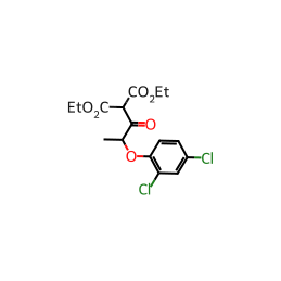 CCOC(=O)C(C(=O)OCC)C(=O)C(C)Oc1ccc(Cl)cc1Cl